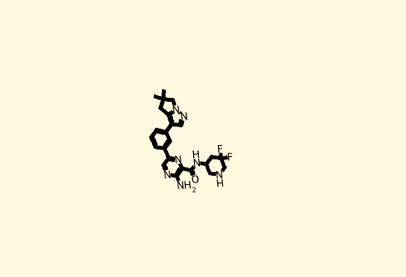 CC1(C)Cc2c(-c3cccc(-c4cnc(N)c(C(=O)NC5CNCC(F)(F)C5)n4)c3)cnn2C1